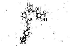 CC(C)(Cc1cccc(C(=O)NCCOc2ccc(-n3cccn3)cc2)c1)NC[C@H](O)c1ccc(O)c(CO)c1